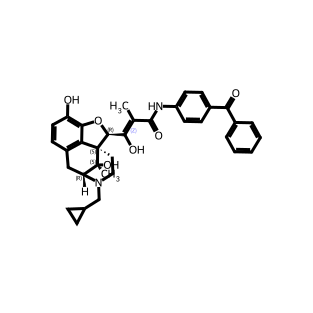 C/C(C(=O)Nc1ccc(C(=O)c2ccccc2)cc1)=C(/O)[C@@H]1Oc2c(O)ccc3c2[C@@]12CCN(CC1CC1)[C@H](C3)[C@@]2(C)O